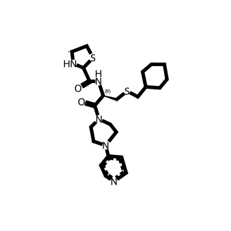 O=C(N[C@@H](CSCC1CCCCC1)C(=O)N1CCN(c2ccncc2)CC1)C1N[CH]CS1